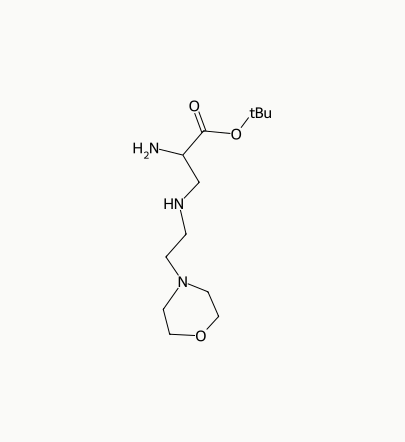 CC(C)(C)OC(=O)C(N)CNCCN1CCOCC1